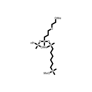 CCC[Si](C)(OC)O[Si](C)(CCCOCCOC)O[Si](C)(C)CCCCCC[Si](C)(C)OC